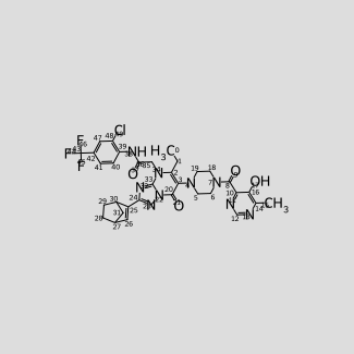 CCc1c(N2CCN(C(=O)c3ncnc(C)c3O)CC2)c(=O)n2nc(C3=CC4CCC3C4)nc2n1CC(=O)Nc1ccc(C(F)(F)F)cc1Cl